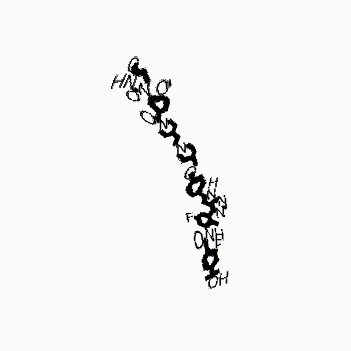 COc1ccc(C(=O)N2CCC(CCN3CCC(COc4ccc(-c5cc6c(-c7cc(F)cc(NC(=O)c8ccc(C(C)(C)O)cc8F)c7C)ncnc6[nH]5)cc4)CC3)CC2)cc1N1CCC(=O)NC1=O